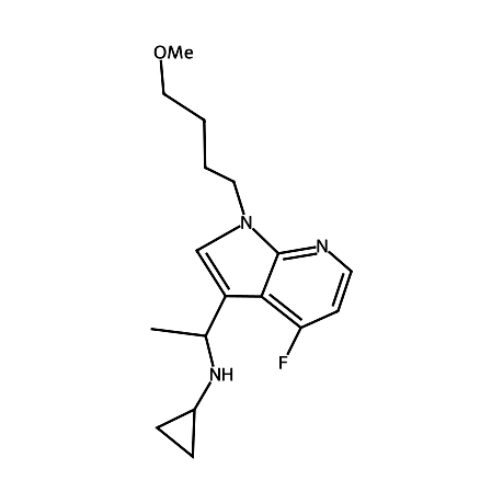 COCCCCn1cc(C(C)NC2CC2)c2c(F)ccnc21